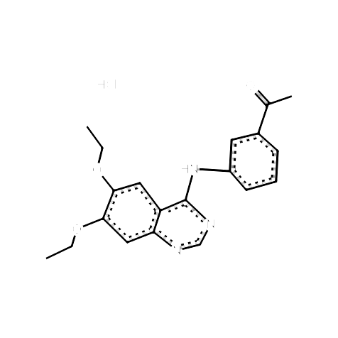 CCOc1cc2ncnc(Nc3cccc(C(C)=O)c3)c2cc1OCC.Cl